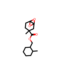 CC1CCCCC1COC(=O)C1(C)CCC23OC2(C1)O3